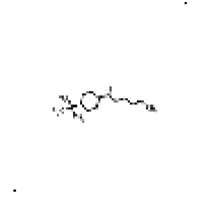 CCCCCNC1CCC(C(C)(C)C)CC1